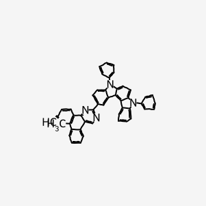 C#C/C=C\c1c(C)c2ccccc2c2cnc(-c3ccc4c(c3)c3c5c6ccccc6n(-c6ccccc6)c5ccc3n4-c3ccccc3)nc12